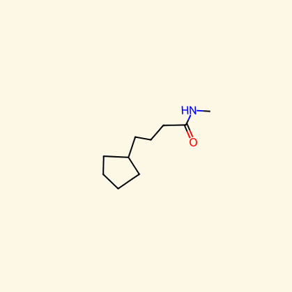 CNC(=O)CCCC1CCCC1